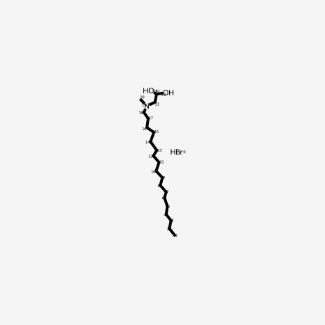 Br.CCCCCCCCCCCCCCCCCCN(C)CC(O)O